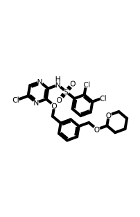 O=S(=O)(Nc1ncc(Cl)nc1OCc1cccc(COC2CCCCO2)c1)c1cccc(Cl)c1Cl